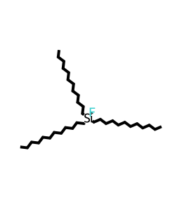 CCCCCCCCCCCC[Si](F)(CCCCCCCCCCCC)CCCCCCCCCCCC